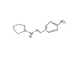 O=[N+]([O-])c1ccc(C=NNN2CCCCC2)cc1